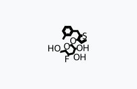 Cc1cccc(Cc2sccc2OC2OC(CO)C(F)C(O)C2O)c1